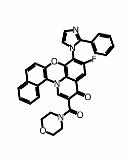 O=C(c1cn2c3c(c(-n4ccnc4-c4ccccc4)c(F)cc3c1=O)Oc1ccc3ccccc3c1-2)N1CCOCC1